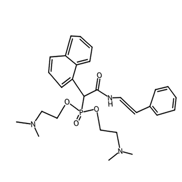 CN(C)CCOP(=O)(OCCN(C)C)C(C(=O)N/C=C/c1ccccc1)c1cccc2ccccc12